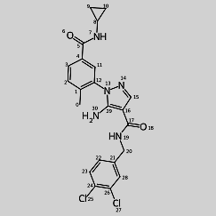 Cc1ccc(C(=O)NC2CC2)cc1-n1ncc(C(=O)NCc2ccc(Cl)c(Cl)c2)c1N